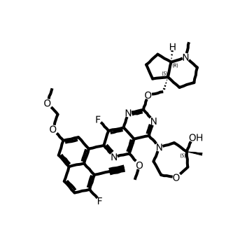 C#Cc1c(F)ccc2cc(OCOC)cc(-c3nc(OC)c4c(N5CCOC[C@@](C)(O)C5)nc(OC[C@]56CCC[C@H]5N(C)CCC6)nc4c3F)c12